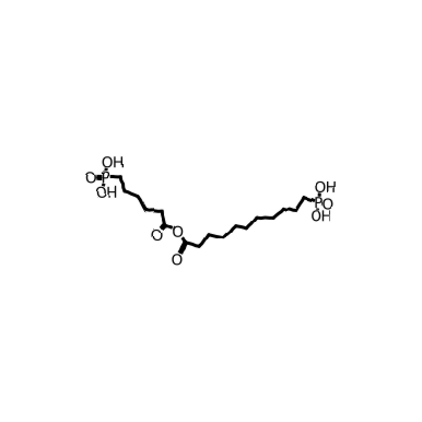 O=C(CCCCCCCCCCP(=O)(O)O)OC(=O)CCCCCP(=O)(O)O